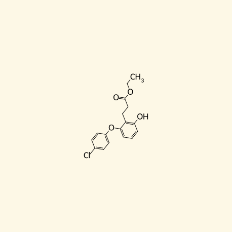 CCOC(=O)CCc1c(O)cccc1Oc1ccc(Cl)cc1